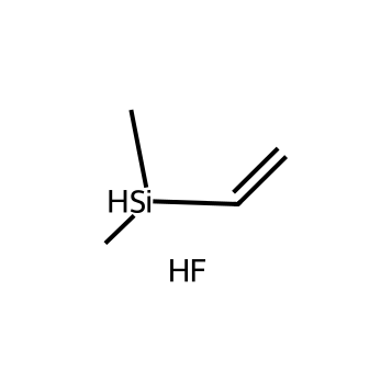 C=C[SiH](C)C.F